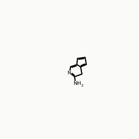 NC1=NC=C2C=CC=C2C1